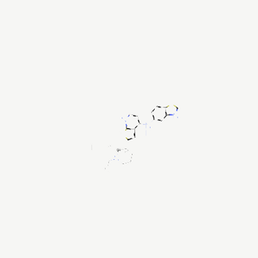 CC[C@@H]1[C@H](c2cc3c(Nc4ccc5scnc5c4)ccnc3s2)CCCN1CC